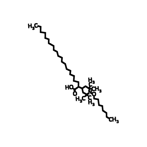 CCCCCCCCCCCCCCCCCCCCC(C(=O)O)C1CC(C)(C)N(OCCCCCCCC)C(C)(C)C1